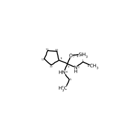 CCNC(NCC)(O[SiH3])C1CCCC1